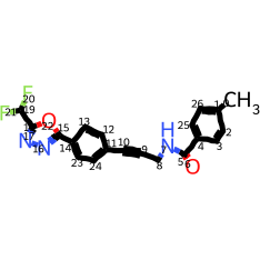 Cc1ccc(C(=O)NCC#Cc2ccc(-c3nnc(C(F)F)o3)cc2)cc1